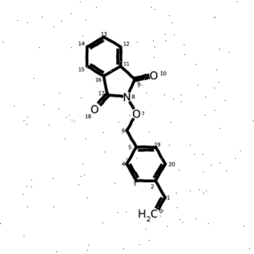 C=Cc1ccc(CON2C(=O)c3ccccc3C2=O)cc1